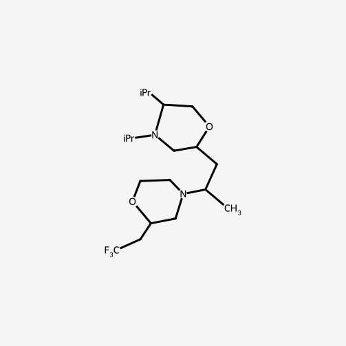 CC(C)C1COC(CC(C)N2CCOC(CC(F)(F)F)C2)CN1C(C)C